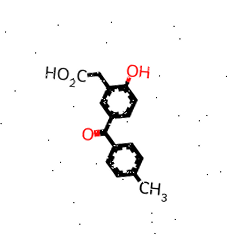 Cc1ccc(C(=O)c2ccc(O)c(CC(=O)O)c2)cc1